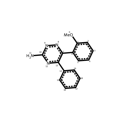 COc1ccccc1-c1nnc(N)nc1-c1ccccc1